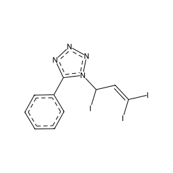 IC(I)=CC(I)n1nnnc1-c1ccccc1